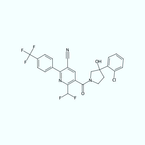 N#Cc1cc(C(=O)N2CCC(O)(c3ccccc3Cl)C2)c(C(F)F)nc1-c1ccc(C(F)(F)F)cc1